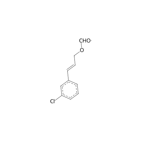 O=[C]OC/C=C/c1cccc(Cl)c1